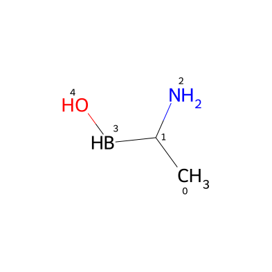 CC(N)BO